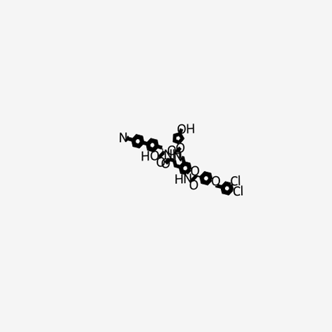 N#Cc1ccc(-c2ccc(C[C@H](NC(=O)C3Cc4cc5c(cc4CN3C(=O)OC3CCC(O)C3)O[C@@H](c3ccc(OCc4ccc(Cl)c(Cl)c4)cc3)C(=O)N5)C(=O)O)cc2)cc1